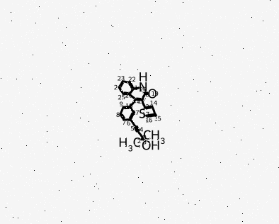 CC(C)(O)C#Cc1cccc(-c2c(-c3cccs3)c(=O)[nH]c3ccccc23)c1